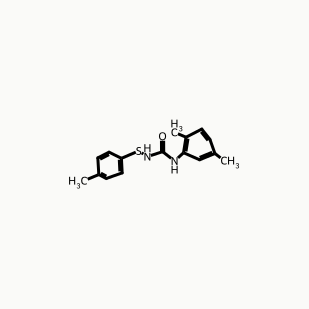 Cc1ccc(SNC(=O)Nc2cc(C)ccc2C)cc1